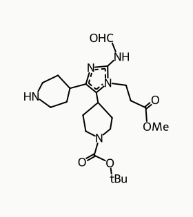 COC(=O)CCn1c(NC=O)nc(C2CCNCC2)c1C1CCN(C(=O)OC(C)(C)C)CC1